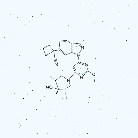 COc1nc(N2C[C@@H](C)[C@@](C)(O)[C@@H](C)C2)cc(-n2ncc3ccc(C4(C#N)CCC4)cc32)n1